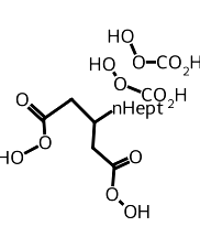 CCCCCCCC(CC(=O)OO)CC(=O)OO.O=C(O)OO.O=C(O)OO